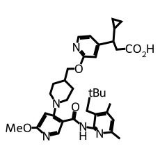 COc1cc(N2CCC(COc3cc(C(CC(=O)O)C4CC4)ccn3)CC2)c(C(=O)Nc2nc(C)cc(C)c2CC(C)(C)C)cn1